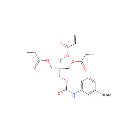 C=CC(=O)OCC(COC(=O)C=C)(COC(=O)C=C)COC(=O)Nc1cccc(NC(C)=O)c1C